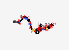 CCC(C)[C@H](NC(=O)CCCCCN1C(=O)CC(C(C)(C)C)C1=O)C(=O)C[C@@H](C)C(=O)Nc1ccc(COC(=O)NCCCC(=O)CCC(C)(C)SSC/C=C2/C3=C(CC(=O)OC)C(=O)C[C@@]2(O)C#C/C=C\C#C[C@@H]3OC2OC(C)C(NOC3CC(O)C(SC(=O)c4c(C)c(I)c(OC5OC(C)C(O)C(OC)C5O)c(C)c4OC)C(C)O3)C(O)C2OC2CC(C)C(CC(C)=O)CO2)cc1